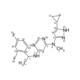 CC(Nc1cc(N(C)c2cc(C3CC3)[nH]n2)ncn1)c1ccc(F)cc1F